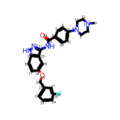 CN1CCN(c2ccc(C(=O)Nc3n[nH]c4ccc(OCc5cccc(F)c5)cc34)cc2)CC1